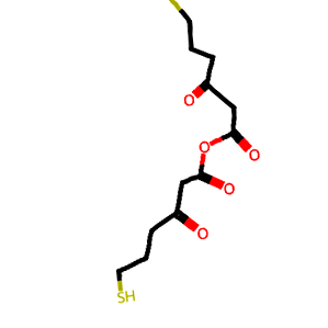 O=C(CCCS)CC(=O)OC(=O)CC(=O)CCCS